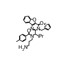 Cc1ccc(C(=O)N(CCCN)C(c2nc3c(oc4ccccc43)c(=O)n2Cc2cccs2)C(C)C)cc1